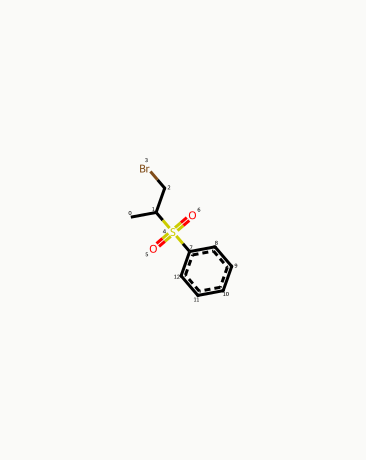 CC(CBr)S(=O)(=O)c1ccccc1